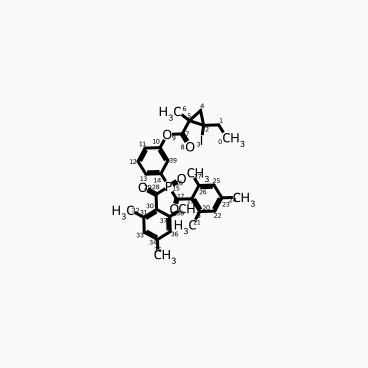 CCC1(I)CC1(C)C(=O)Oc1cccc(P(=O)(C(=O)c2c(C)cc(C)cc2C)C(=O)c2c(C)cc(C)cc2C)c1